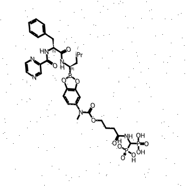 CC(C)C[C@H](NC(=O)[C@H](Cc1ccccc1)NC(=O)c1cnccn1)B1Oc2ccc(N(C)C(=O)OCCCC(=O)NC(P(=O)(O)O)P(=O)(O)O)cc2O1